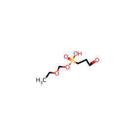 CCOCOP(=O)(O)CCC=O